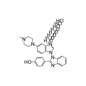 CN1CCN(c2ccc3c(c2)ncn3-n2c(-c3ccc(O)cc3)nc3ccccc32)CC1.Cl.Cl.Cl.O.O.O.O.O